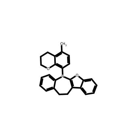 Cc1ccc(N2c3ccccc3CCc3c2oc2ccccc32)c2c1CCCO2